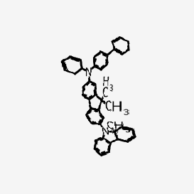 CC1(C)c2cc(N(c3ccc(C4=CCCC=C4)cc3)C3C=CC=CC3)ccc2-c2ccc(N3c4ccccc4C4C=CC=C[C@@]43C)cc21